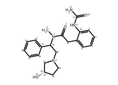 CN(C(=O)Cc1ccccc1NC(N)=O)C(CN1CC[C@H](O)C1)c1ccccc1